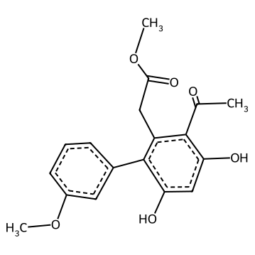 COC(=O)Cc1c(C(C)=O)c(O)cc(O)c1-c1cccc(OC)c1